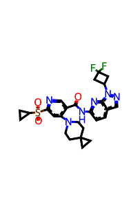 O=C(Nc1ccc2cnn(C3CC(F)(F)C3)c2n1)c1cnc(S(=O)(=O)C2CC2)cc1N1CCC2(CC1)CC2